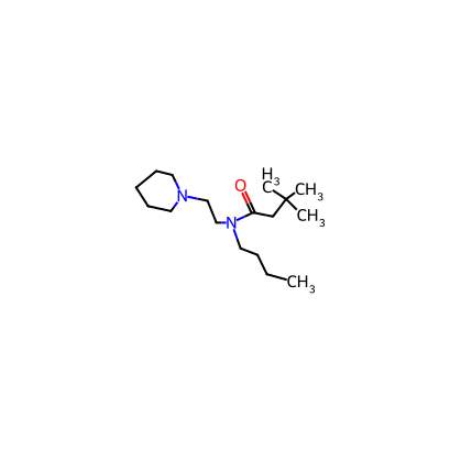 CCCCN(CCN1CCCCC1)C(=O)CC(C)(C)C